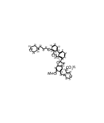 COc1cc2oc(-c3cccc(-c4cccc(OCCCN5CCOCC5)c4C#N)c3C)nc2cc1CN1CCOCC1CC(=O)O